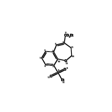 CCOC(=O)C1=Cc2cccc(S(=O)(=O)CC)c2OCC1